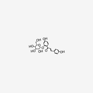 O=C(/C=C/c1ccc(O)cc1)c1ccc(O)cc1O[C@H]1O[C@H](CO)[C@H](O)[C@H](O)[C@H]1O